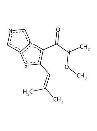 CON(C)C(=O)c1c(C=C(C)C)sc2cncn12